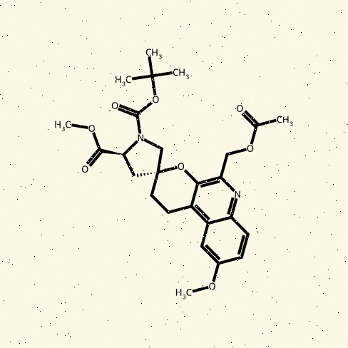 COC(=O)[C@@H]1C[C@]2(CCc3c(c(COC(C)=O)nc4ccc(OC)cc34)O2)CN1C(=O)OC(C)(C)C